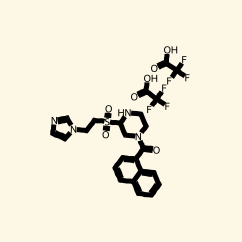 O=C(O)C(F)(F)F.O=C(O)C(F)(F)F.O=C(c1cccc2ccccc12)N1CCNC(S(=O)(=O)CCn2ccnc2)C1